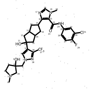 CN1CCC(O)(Cn2cc(C3(O)CC4CC(c5ncn(C)c5C(=O)Nc5ccc(F)c(Cl)c5)CC4C3)c(C(F)(F)F)n2)C1